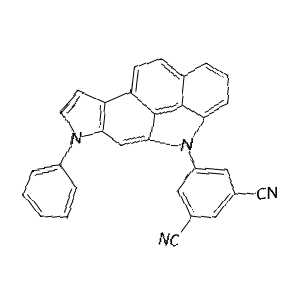 N#Cc1cc(C#N)cc(-n2c3cccc4ccc5c6ccn(-c7ccccc7)c6cc2c5c43)c1